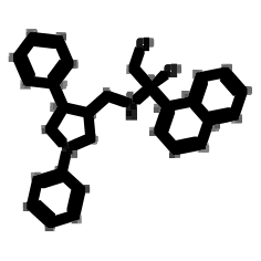 ClC[C@@](Cl)(NCC1CN(c2ccccc2)CC1c1ccccc1)c1cccc2ccccc12